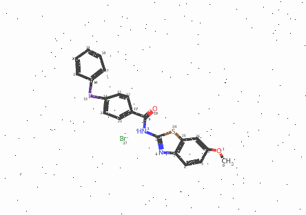 COc1ccc2nc(NC(=O)c3ccc([I+]c4ccccc4)cc3)sc2c1.[Br-]